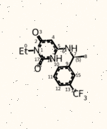 CCn1c(=O)cc(N[C@@H](C)c2cccc(C(F)(F)F)c2)[nH]c1=O